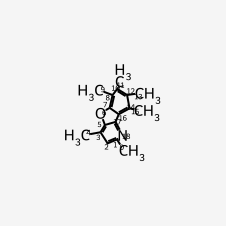 Cc1cc(C)c2oc3c(C)c(C)c(C)c(C)c3c2n1